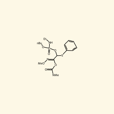 CCCCOP(=O)(NCC)OC(Sc1ccccc1)C(=NOC)OC(=O)NC